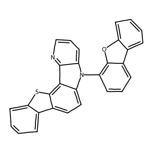 c1ccc2c(c1)oc1c(-n3c4cccnc4c4c5sc6ccccc6c5ccc43)cccc12